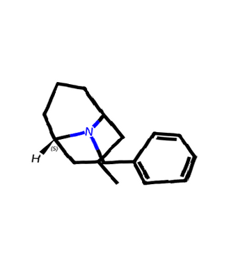 CC1CC2CCC[C@@H](C1)N2Cc1ccccc1